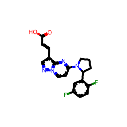 O=C(O)C=Cc1cnn2ccc(N3CCCC3c3cc(F)ccc3F)nc12